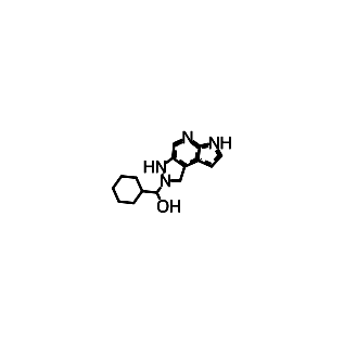 OC(C1CCCCC1)N1Cc2c(cnc3[nH]ccc23)N1